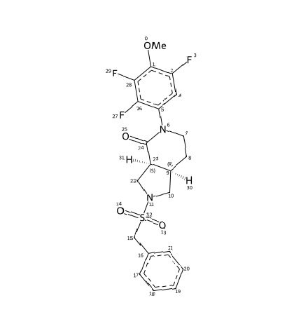 COc1c(F)cc(N2CC[C@H]3CN(S(=O)(=O)Cc4ccccc4)C[C@H]3C2=O)c(F)c1F